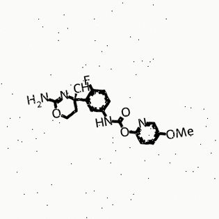 COc1ccc(OC(=O)Nc2ccc(F)c([C@]3(C)CCOC(N)=N3)c2)nc1